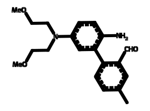 COCCN(CCOC)c1ccc(N)c(-c2ccc(C)cc2C=O)c1